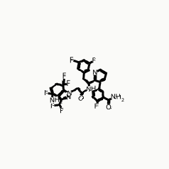 NC(=O)c1cc(-c2cccnc2C(Cc2cc(F)cc(F)c2)NC(=O)Cn2nc(C(F)F)c3c2C(F)(F)CCC3(N)F)ccc1F